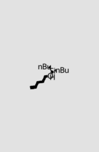 C=CCCCO[SiH](CCCC)CCCC